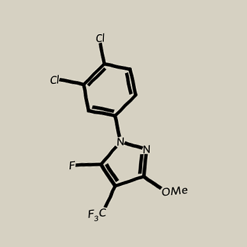 COc1nn(-c2ccc(Cl)c(Cl)c2)c(F)c1C(F)(F)F